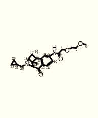 COCCOCC(=O)Nc1ccc2c(c1)[C@]1(C)CC3N(CC4CC4)C(C2=O)C31C